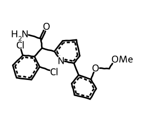 COCOc1ccccc1-c1cccc(C(C(N)=O)c2c(Cl)cccc2Cl)n1